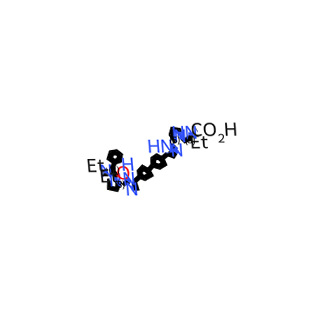 CC[C@@H](CN1CCC[C@H]1c1ncc(-c2ccc(-c3ccc(-c4cnc([C@@H]5CCCN5C(=O)[C@@H](c5ccccc5)N(CC)CC)[nH]4)cc3)cc2)[nH]1)NC(=O)O